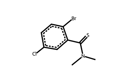 CN(C)C(=S)c1cc(Cl)ccc1Br